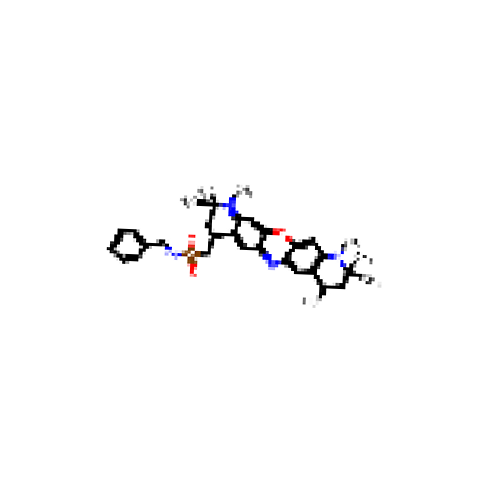 CC1CC(C)(C)N(C)c2cc3c(cc21)N=c1cc2c(cc1O3)=[N+](C)C(C)(C)CC2CS(=O)(=O)NCc1ccccc1